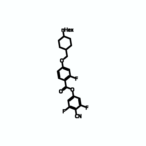 CCCCCCC1CCC(COc2ccc(C(=O)Oc3cc(F)c(C#N)c(F)c3)c(F)c2)CC1